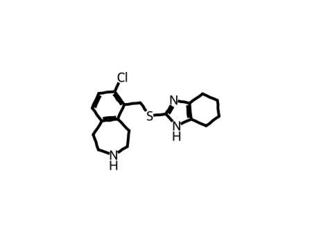 Clc1ccc2c(c1CSc1nc3c([nH]1)CCCC3)CCNCC2